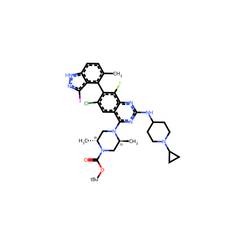 Cc1ccc2[nH]nc(I)c2c1-c1c(Cl)cc2c(N3C[C@@H](C)N(C(=O)OC(C)(C)C)C[C@@H]3C)nc(NC3CCN(C4CC4)CC3)nc2c1F